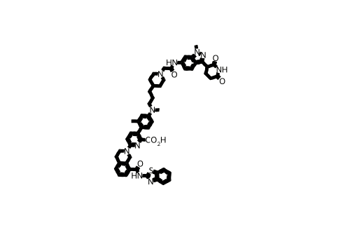 Cc1cc(N(C)CCCC2CCN(CC(=O)Nc3ccc4c(C5CCC(=O)NC5=O)nn(C)c4c3)CC2)ccc1-c1ccc(N2CCc3cccc(C(=O)Nc4nc5ccccc5s4)c3C2)nc1C(=O)O